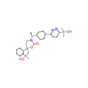 C[C@@H](c1ccc(-c2ccc(C(C)(C)O)nn2)cc1)N1CCC(CC(C)(C)O)(c2ccccc2)OC1=O